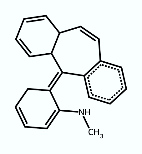 CNC1=CC=CCC1=C1c2ccccc2C=CC2C=CC=CC12